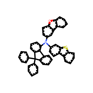 c1ccc(C2(c3ccccc3)c3ccccc3-c3c(N(c4ccc5c(c4)sc4ccccc45)c4ccc5oc6ccccc6c5c4)cccc32)cc1